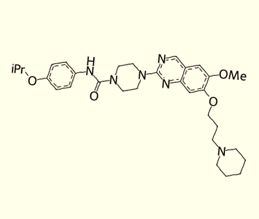 COc1cc2cnc(N3CCN(C(=O)Nc4ccc(OC(C)C)cc4)CC3)nc2cc1OCCCN1CCCCC1